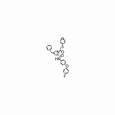 O=C(Nc1ccc(Oc2ccc(F)cc2)cc1)[C@@H]1C[C@@H](Cc2ccccc2)CN1C(=O)CSc1ccncc1